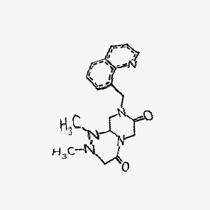 CN1CC(=O)N2CC(=O)N(Cc3cccc4cccnc34)CC2N1C